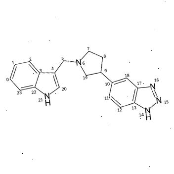 c1ccc2c(CN3CCC(c4ccc5[nH]nnc5c4)C3)c[nH]c2c1